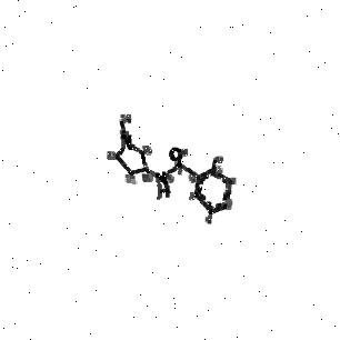 Cc1ccccc1C(=O)NC1CCN(C)C1